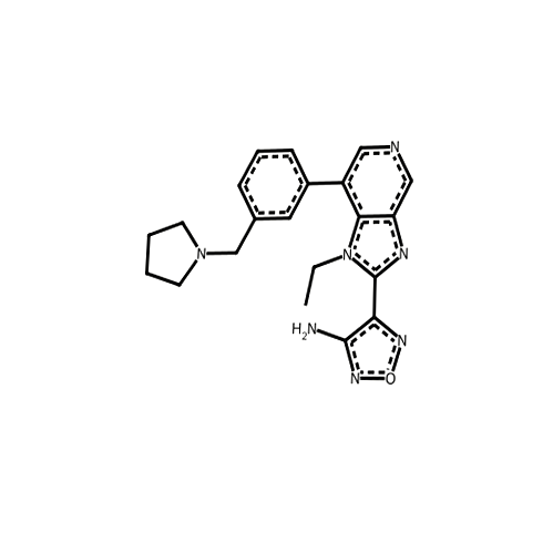 CCn1c(-c2nonc2N)nc2cncc(-c3cccc(CN4CCCC4)c3)c21